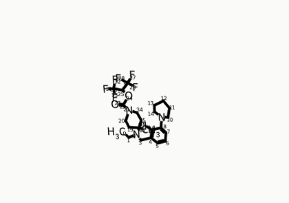 CCN(Cc1cccc(N2CCCCC2)c1Cl)C1(C)CCN(C(=O)OC(C(F)(F)F)C(F)(F)F)CC1